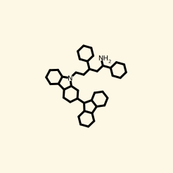 NC(CC(CCN1C2CCCCC2C2CCC(C3C4CCCCC4C4CCCCC43)CC21)C1CCCCC1)C1CCCCC1